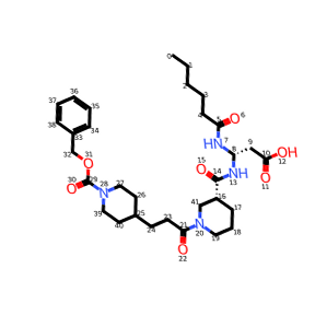 CCCCCC(=O)N[C@H](CC(=O)O)NC(=O)[C@@H]1CCCN(C(=O)CCC2CCN(C(=O)OCc3ccccc3)CC2)C1